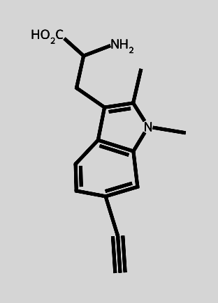 C#Cc1ccc2c(CC(N)C(=O)O)c(C)n(C)c2c1